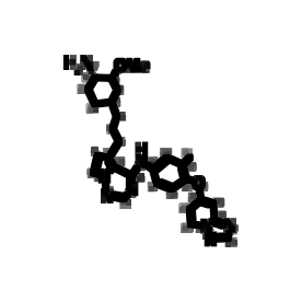 CO[C@H]1CC(CCCc2ccn3ncnc(Nc4ccc(Oc5ccn6ncnc6c5)c(C)c4)c23)CC[C@@H]1N